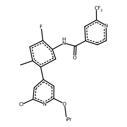 Cc1cc(F)c(NC(=O)c2ccnc(C(F)(F)F)c2)cc1-c1cc(Cl)nc(OC(C)C)c1